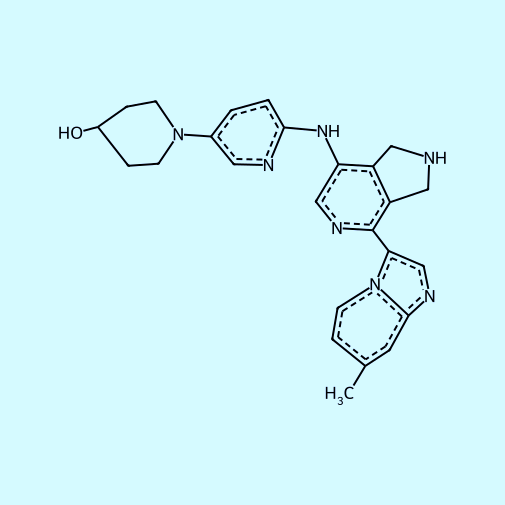 Cc1ccn2c(-c3ncc(Nc4ccc(N5CCC(O)CC5)cn4)c4c3CNC4)cnc2c1